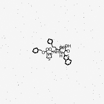 O=C(NO)C(NC(=O)[C@H](CCc1ccccc1)NC(=O)[C@@H]1CSCN1C(=O)OCc1ccccc1)c1cc2ccccc2s1